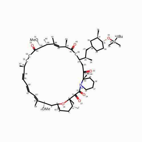 CO[C@H]1C[C@@H]2CC[C@@H](C)C(C)(O2)C(=O)C(=O)N2CCCC[C@H]2C(=O)C[C@H]([C@H](C)C[C@@H]2CC[C@@H](O[Si](C)(C)C(C)(C)C)[C@H](C)C2)CC(=O)[C@H](C)/C=C(\C)[C@@H](C)[C@@H](OC)C(=O)CC[C@H](C)/C=C/C=C/C=C/1C